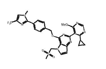 COc1ncnc(C2CC2)c1-c1nc(OCc2ccc(-c3nc(C(F)(F)F)cn3C)cc2)c2c(ccn2CS(C)(=O)=O)n1